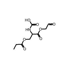 CCC(=O)OCC(NC(=O)O)C(=O)OCC=O